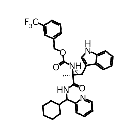 C[C@@](Cc1c[nH]c2ccccc12)(NC(=O)OCc1cccc(C(F)(F)F)c1)C(=O)NC(c1ccccn1)C1CCCCC1